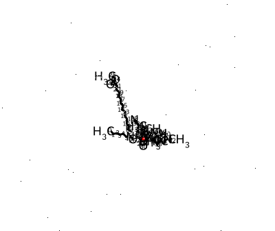 CCCCCCN(CCCCCCCCCCCCCCCC(=O)OC)OC[C@]12COC(C1OP(OCCC#N)N(C)C)[C@H](n1cnc3c(/N=C\N(C)C)ncnc31)O2